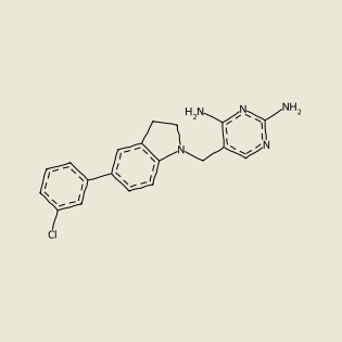 Nc1ncc(CN2CCc3cc(-c4cccc(Cl)c4)ccc32)c(N)n1